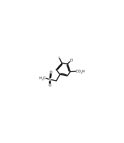 CS(=O)(=O)Cc1cc(I)c(Cl)c(C(=O)O)c1